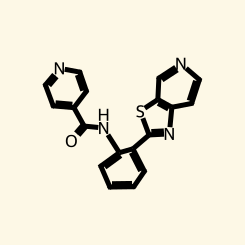 O=C(Nc1ccccc1-c1nc2ccncc2s1)c1ccncc1